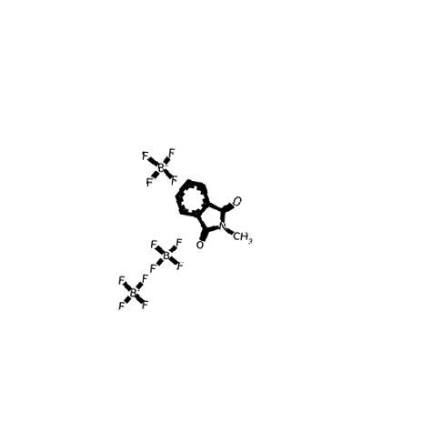 CN1C(=O)c2ccccc2C1=O.F[B-](F)(F)F.F[B-](F)(F)F.F[B-](F)(F)F